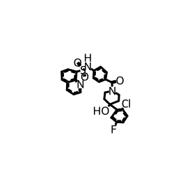 O=C(c1ccc(NS(=O)(=O)c2cccc3cccnc23)cc1)N1CCC(O)(c2cc(F)ccc2Cl)CC1